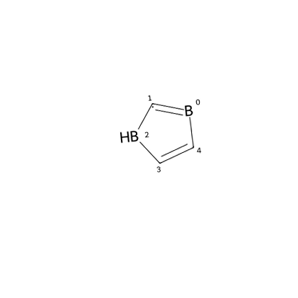 B1=[C]BC=C1